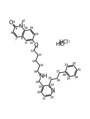 Cl.Cl.Cn1c(=O)ccc2cc(OCCCCCNCc3cccnc3CCCc3ccccc3)ccc21